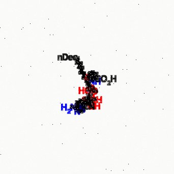 CCCCCCCCCCCCCCCCCCOC[C@H](COP(=O)(O)OC[C@H]1O[C@@](C#N)(c2ccc3c(N)ncnn23)[C@H](O)[C@@H]1O)Nc1ccccc1C(=O)O